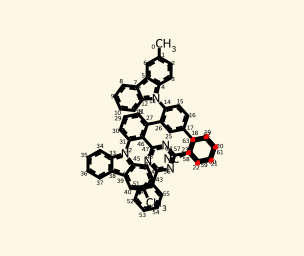 Cc1ccc2c(c1)c1ccccc1n2-c1ccc(-c2ccccc2C#N)cc1-c1cccc(-n2c3ccccc3c3cc(C)ccc32)c1-c1nc(-c2ccccc2)nc(-c2ccccc2)n1